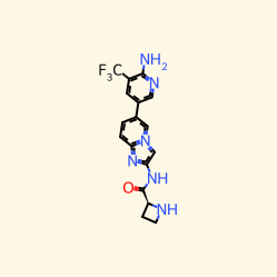 Nc1ncc(-c2ccc3nc(NC(=O)[C@@H]4CCN4)cn3c2)cc1C(F)(F)F